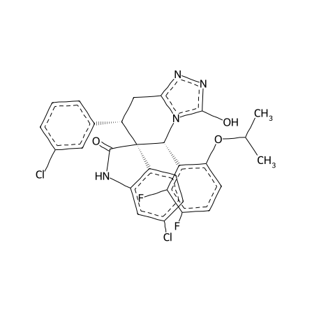 CC(C)Oc1ccc(F)c(F)c1[C@H]1n2c(O)nnc2C[C@@H](c2cccc(Cl)c2)[C@]12C(=O)Nc1cc(Cl)ccc12